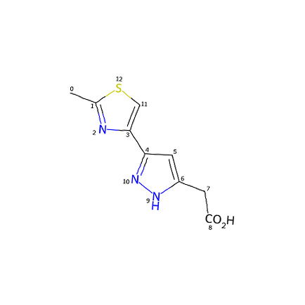 Cc1nc(-c2cc(CC(=O)O)[nH]n2)cs1